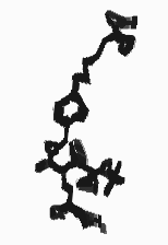 C[C@@H](OCc1ccc(CCCCCC(=O)O)cc1)[C@H](CCC(N)=O)NC(=O)OC(C)(C)C